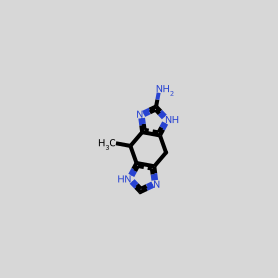 CC1c2nc(N)[nH]c2Cc2nc[nH]c21